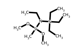 CCN([Si](CC)(CC)CC)[Si](C)(OC)OC